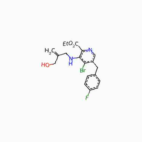 C=C(CO)CNc1c(C(=O)OCC)ncc(Cc2ccc(F)cc2)c1Br